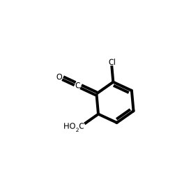 O=C=C1C(Cl)=CC=CC1C(=O)O